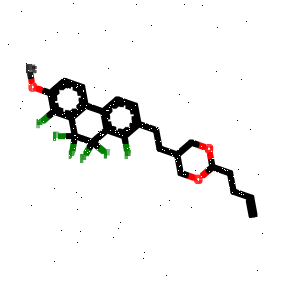 C=CCCC1OCC(CCc2ccc3c(c2F)C(F)(F)C(F)(F)c2c-3ccc(OCC)c2F)CO1